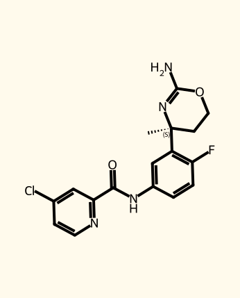 C[C@@]1(c2cc(NC(=O)c3cc(Cl)ccn3)ccc2F)CCOC(N)=N1